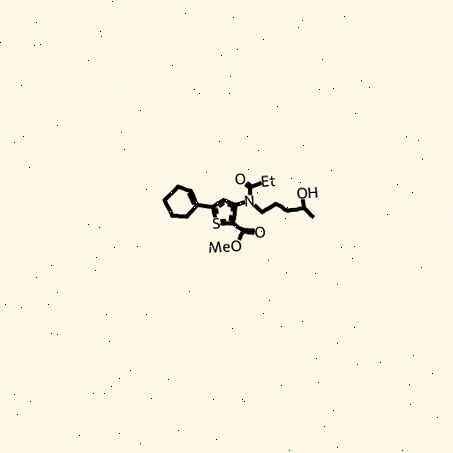 CCC(=O)N(CCCC(C)O)c1cc(C2=CCCCC2)sc1C(=O)OC